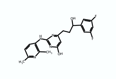 Cc1ccc(Nc2nc(O)cc(CCC(O)c3cc(F)cc(F)c3)n2)c(C)n1